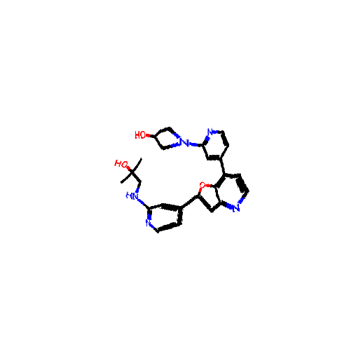 CC(C)(O)CNc1cc(-c2cc3nccc(-c4ccnc(N5CC(O)C5)c4)c3o2)ccn1